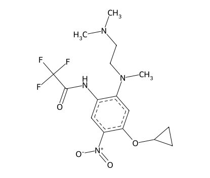 CN(C)CCN(C)c1cc(OC2CC2)c([N+](=O)[O-])cc1NC(=O)C(F)(F)F